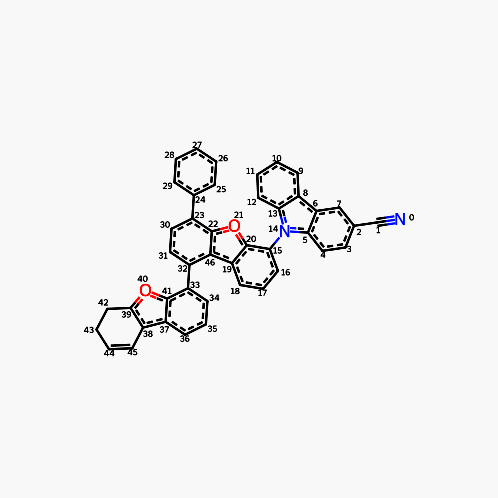 N#Cc1ccc2c(c1)c1ccccc1n2-c1cccc2c1oc1c(-c3ccccc3)ccc(-c3cccc4c5c(oc34)CCC=C5)c12